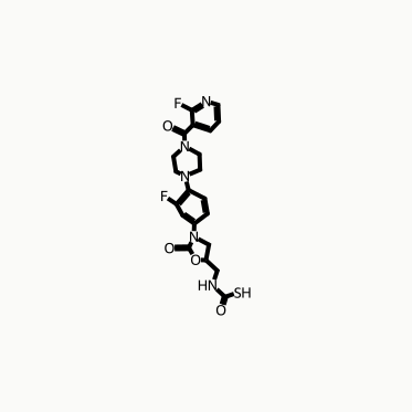 O=C(S)NCC1CN(c2ccc(N3CCN(C(=O)c4cccnc4F)CC3)c(F)c2)C(=O)O1